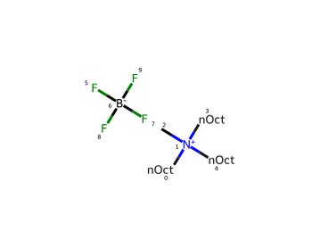 CCCCCCCC[N+](C)(CCCCCCCC)CCCCCCCC.F[B-](F)(F)F